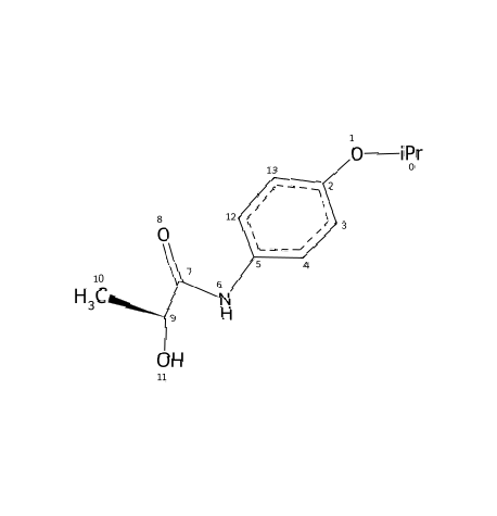 CC(C)Oc1ccc(NC(=O)[C@H](C)O)cc1